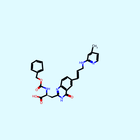 Cc1ccnc(NC/C=C/c2ccc3nc(C[C@H](NC(=O)OCc4ccccc4)C(=O)O)[nH]c(=O)c3c2)c1